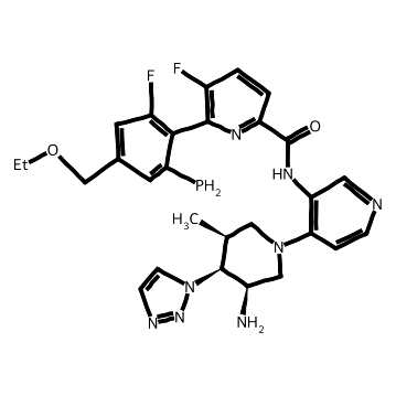 CCOCc1cc(F)c(-c2nc(C(=O)Nc3cnccc3N3C[C@@H](N)[C@@H](n4ccnn4)[C@@H](C)C3)ccc2F)c(P)c1